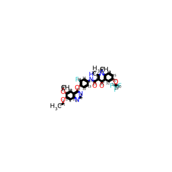 CCOc1cc2ncnc(Oc3ccc(NC(=O)c4c(C)n(C)c5ccc(OC(F)(F)F)cc5c4=O)cc3F)c2cc1OC